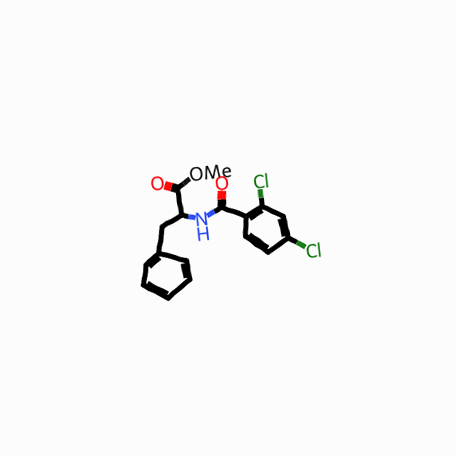 COC(=O)C(Cc1ccccc1)NC(=O)c1ccc(Cl)cc1Cl